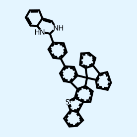 C1=CC2=CNC(c3ccc(-c4ccc5c(c4)C4(c6ccccc6-c6ccccc64)c4ccc6c(sc7ccccc76)c4-5)cc3)NC2C=C1